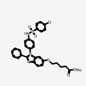 COC(=O)CCCCOc1ccc2nc(-c3ccccc3)n(-c3ccc(NS(=O)(=O)c4ccc(Cl)cc4)cc3)c2c1